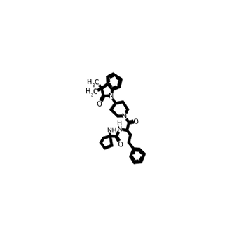 CC1(C)C(=O)N(C2CCN(C(=O)C(CCc3ccccc3)NC(=O)C3(N)CCCC3)CC2)c2ccccc21